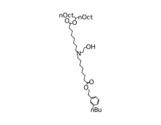 CCCCCCCCC(CCCCCCCC)OC(=O)CCCCCCCN(CCO)CCCCCCCC(=O)OCCc1cccc(CCCC)c1